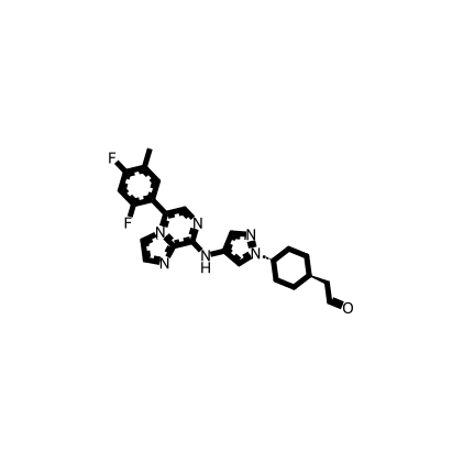 Cc1cc(-c2cnc(Nc3cnn([C@H]4CC[C@H](CC=O)CC4)c3)c3nccn23)c(F)cc1F